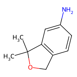 CC1(C)OCc2ccc(N)cc21